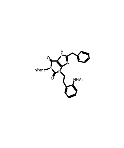 CCCCCn1c(=O)c2[nH]c(Cc3ccccc3)nc2n(CCc2ccccc2NC(C)=O)c1=O